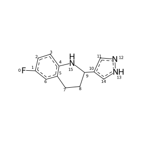 Fc1ccc2c(c1)CCC(c1cn[nH]c1)N2